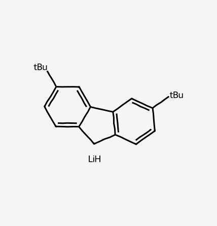 CC(C)(C)c1ccc2c(c1)-c1cc(C(C)(C)C)ccc1C2.[LiH]